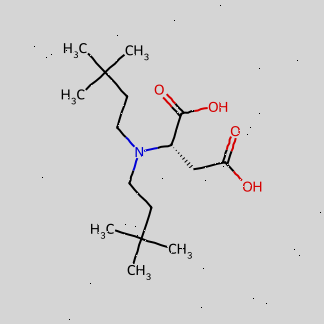 CC(C)(C)CCN(CCC(C)(C)C)[C@@H](CC(=O)O)C(=O)O